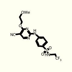 COCCOc1nc(Nc2ccc(S(=O)(=O)NCC(F)(F)F)cc2)ncc1C#N